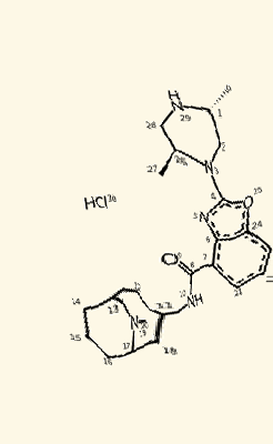 C[C@@H]1CN(c2nc3c(C(=O)NC4CC5CCCC(C4)N5C)cccc3o2)[C@@H](C)CN1.Cl